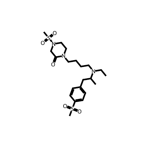 CCN(CCCCN1CCN(S(C)(=O)=O)CC1=O)C(C)Cc1ccc(S(C)(=O)=O)cc1